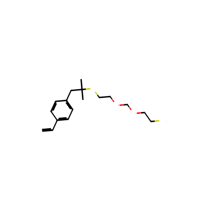 C=Cc1ccc(CC(C)(C)SCCOCOCCS)cc1